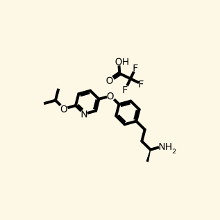 CC(C)Oc1ccc(Oc2ccc(CC[C@H](C)N)cc2)cn1.O=C(O)C(F)(F)F